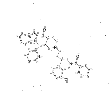 CN(CC(CCN1CCC(C(=O)c2nc3ccccc3n2Cc2ccccn2)CC1)c1cccc(Cl)c1)C(=O)c1ccccc1